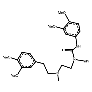 CCCN(CCN(C)CCc1ccc(OC)c(OC)c1)C(=O)Nc1ccc(OC)c(OC)c1